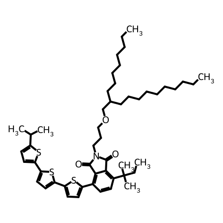 CCCCCCCCCCC(CCCCCCCC)COCCCN1C(=O)c2c(-c3ccc(-c4ccc(-c5ccc(C(C)C)s5)s4)s3)ccc(C(C)(C)CC)c2C1=O